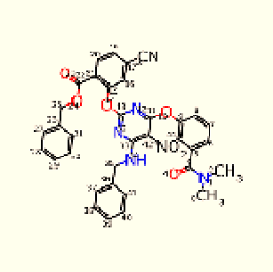 CN(C)C(=O)c1cccc(Oc2nc(Oc3cc(C#N)ccc3C(=O)OCc3ccccc3)nc(NCc3ccccc3)c2[N+](=O)[O-])c1